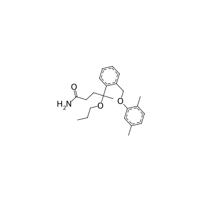 CCCOC(C)(CCC(N)=O)c1ccccc1COc1cc(C)ccc1C